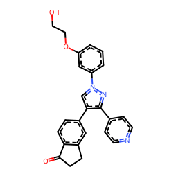 O=C1CCc2cc(-c3cn(-c4cccc(OCCO)c4)nc3-c3ccncc3)ccc21